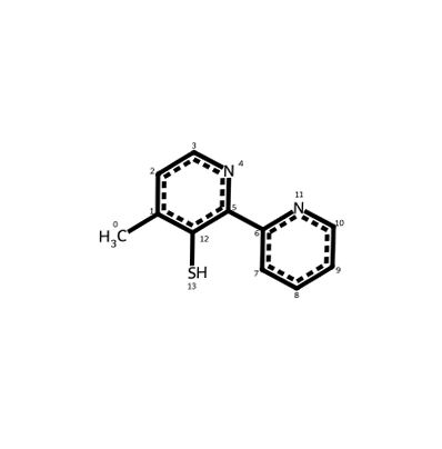 Cc1ccnc(-c2ccccn2)c1S